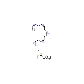 CC/C=C\C/C=C\C/C=C\C/C=C\C/C=C\CCOC(F)C(=O)O